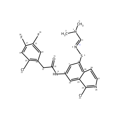 CN(C)/C=N/Sc1cc(NC(=O)Cc2cc(F)c(F)cc2Cl)cc2c(Cl)nccc12